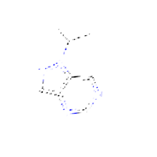 CC(C)n1ncc2ncncc21